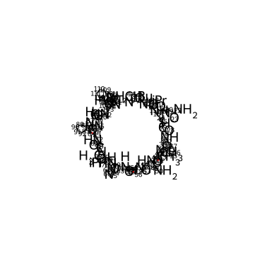 CCCC[C@H]1CN(C)[C@@H](CCCC)C(=O)N[C@@H](CC(C)C)C(=O)N[C@H](C(=O)NCC(N)=O)CSCC(=O)N[C@@H](Cc2ccccc2)C(=O)N(C)[C@@H](C)C(=O)N[C@@H](CC(N)=O)C(=O)N2CCC[C@H]2C(=O)N[C@@H](Cc2cnc[nH]2)C(=O)N[C@@H](CC(C)C)C(=O)N(C)CC(=O)N[C@@H](Cc2c[nH]c3ccccc23)C(=O)N[C@@H](CO)C(=O)N[C@@H](Cc2c[nH]c3ccccc23)C(=O)N1C